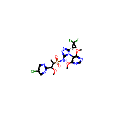 COc1ncnc(OC)c1-n1c(NS(=O)(=O)C(C)C(OC)c2ncc(Cl)cn2)nnc1[C@H]1CC1(F)F